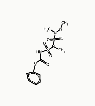 CON(C)S(=O)(=O)N(C)S(=O)(=O)NC(=O)Oc1ccccc1